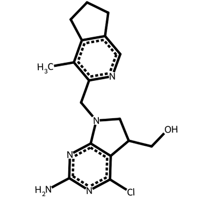 Cc1c(CN2CC(CO)c3c(Cl)nc(N)nc32)ncc2c1CCC2